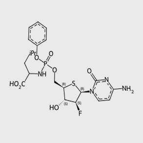 CC(C)CC(NP(=O)(OC[C@H]1S[C@@H](n2ccc(N)nc2=O)[C@@H](F)[C@@H]1O)Oc1ccccc1)C(=O)O